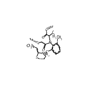 COCC(=O)N(c1c(C)cccc1C)C(C)C(=O)OC.O=[N+]([O-])/C=C1/NCCCS1